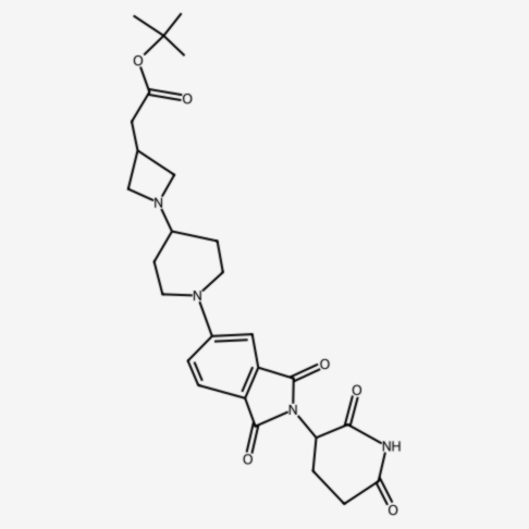 CC(C)(C)OC(=O)CC1CN(C2CCN(c3ccc4c(c3)C(=O)N(C3CCC(=O)NC3=O)C4=O)CC2)C1